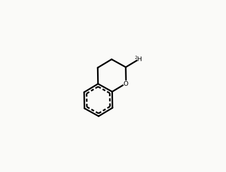 [2H]C1CCc2ccccc2O1